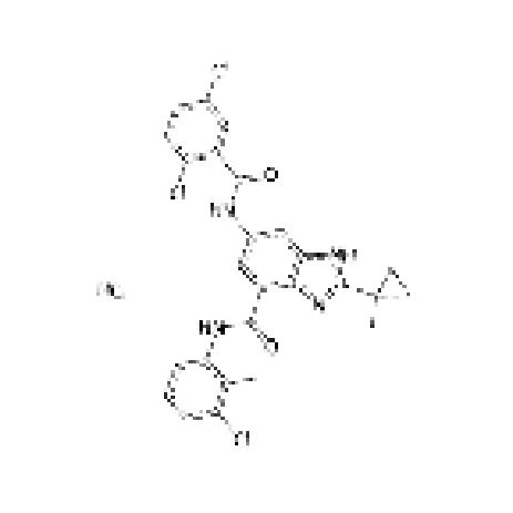 Cc1c(Cl)cccc1NC(=O)c1cc(NC(=O)c2cc(Cl)ccc2Cl)cc2[nH]c(C3(C)CC3)nc12.Cl